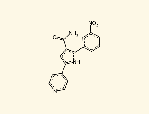 NC(=O)c1cc(-c2ccncc2)[nH]c1-c1cccc([N+](=O)[O-])c1